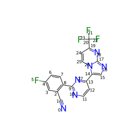 N#Cc1cc(F)ccc1-c1nccc(-c2cnc3nc(C(F)(F)F)ccn23)n1